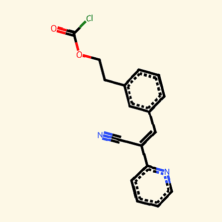 N#CC(=Cc1cccc(CCOC(=O)Cl)c1)c1ccccn1